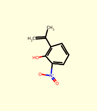 C=C(C)c1cccc([N+](=O)[O-])c1O